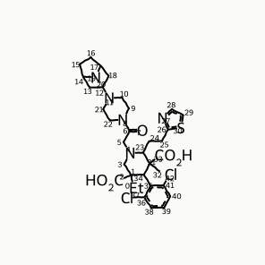 CCC1(C(=O)O)CN(CC(=O)N2CCN(C3CC4CCC(C3)N4C)CC2)C(CCc2nccs2)C(C)(C(=O)O)C1c1c(Cl)cccc1Cl